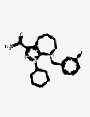 NC(=O)c1nn(C2CCCCC2)c2c1CCCC[C@H]2Cc1cccc(F)c1